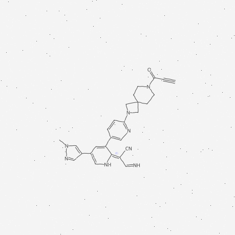 C#CC(=O)N1CCC2(CC1)CN(c1ccc(C3=CC(c4cnn(C)c4)=CN/C3=C(/C#N)C=N)cn1)C2